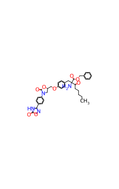 CCCCCC(=O)C(N)(Cc1ccc(OCC2CN(c3ccc(-c4noc(=O)[nH]4)cc3)C(=O)O2)cc1)C(=O)OCc1ccccc1